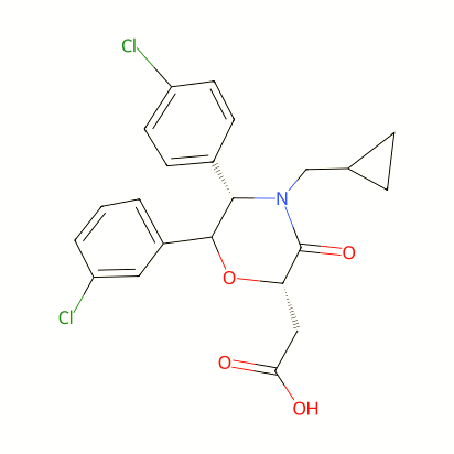 O=C(O)C[C@@H]1OC(c2cccc(Cl)c2)[C@H](c2ccc(Cl)cc2)N(CC2CC2)C1=O